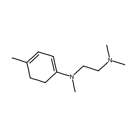 CC1=CC=C(N(C)CCN(C)C)CC1